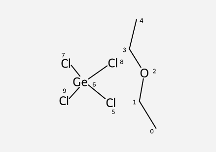 CCOCC.[Cl][Ge]([Cl])([Cl])[Cl]